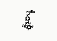 CN(CCN1CCN(C(=O)Cn2c(=O)sc3ccc(Br)cc32)CC1)C(C)(C)C